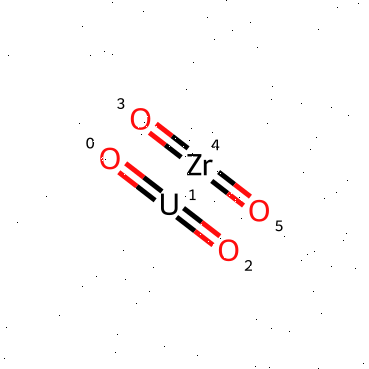 [O]=[U]=[O].[O]=[Zr]=[O]